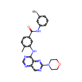 Cc1ccc(C(=O)Nc2cccc(C(C)(C)C)c2)cc1Nc1ncnc2cnc(N3CCOCC3)nc12